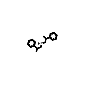 CC(CPCC(C)c1ccccc1)c1ccccc1